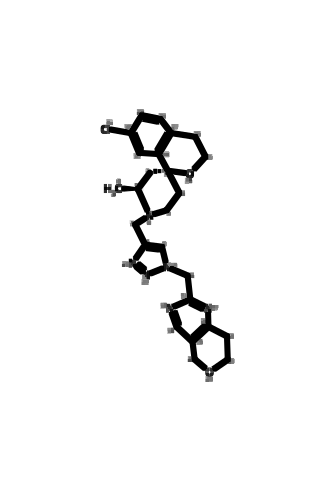 C[C@H]1C[C@@]2(CCN1Cc1cn(Cc3ncc4c(n3)CCOC4)nn1)OCCc1ccc(Cl)cc12